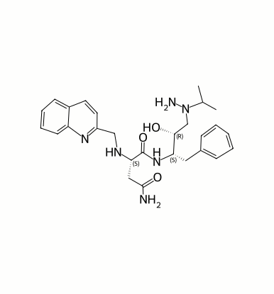 CC(C)N(N)C[C@@H](O)[C@H](Cc1ccccc1)NC(=O)[C@H](CC(N)=O)NCc1ccc2ccccc2n1